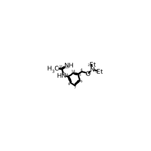 CCN(CC)OCc1cccc(NC(C)=N)c1